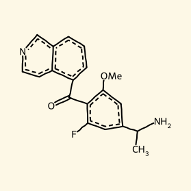 COc1cc(C(C)N)cc(F)c1C(=O)c1cccc2cnccc12